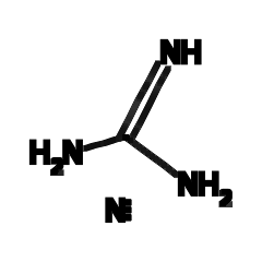 N=C(N)N.[N]